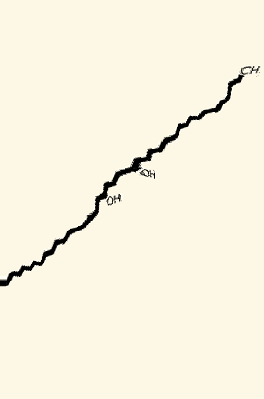 CCCCCCCCCCCCCCCCCC(O)CCCC(O)CCCCCCCCCCCCCCCCN